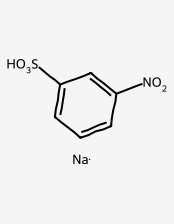 O=[N+]([O-])c1cccc(S(=O)(=O)O)c1.[Na]